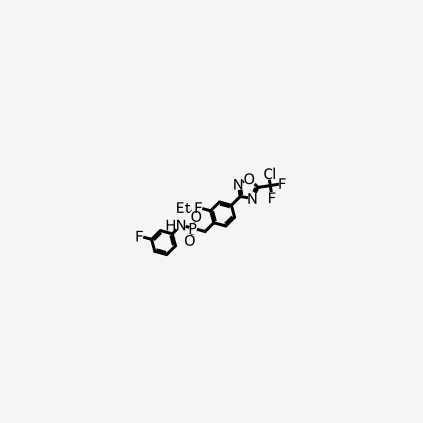 CCOP(=O)(Cc1ccc(-c2noc(C(F)(F)Cl)n2)cc1F)Nc1cccc(F)c1